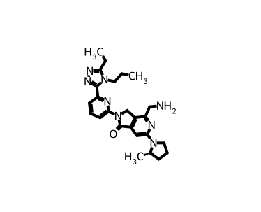 CCCn1c(CC)nnc1-c1cccc(N2Cc3c(cc(N4CCC[C@H]4C)nc3CN)C2=O)n1